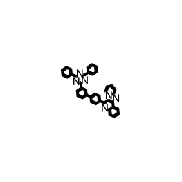 c1ccc(-c2nc(-c3ccccc3)nc(-c3cccc(-c4ccc(-c5nc6ccccc6c6nc7ccccn7c56)cc4)c3)n2)cc1